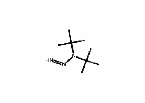 CC(C)(C)N(N=N)C(C)(C)C